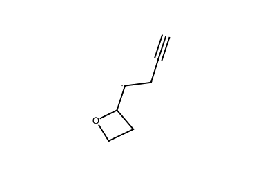 C#CC[CH]C1CCO1